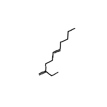 C=C(CC)CCC=CCCCC